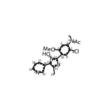 COc1cc(N(C)C(C)=O)c(Cl)cc1-c1nc(C)c(-c2cccnc2)n1O